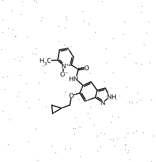 Cc1cccc(C(=O)Nc2cc3c[nH]nc3cc2OCC2CC2)[n+]1[O-]